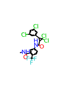 CNC(=O)c1cc(NC(=O)C2C(c3cc(Cl)cc(Cl)c3)C2(Cl)Cl)ccc1C(F)(F)F